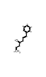 C=CCC(=O)CC=Cc1ccccc1